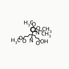 COC(=O)CCCC(C#N)(CCCC(=O)O)c1ccc(OC)c2oc(C(C)C)nc12